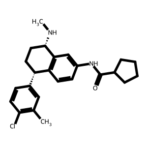 CN[C@H]1CC[C@@H](c2ccc(Cl)c(C)c2)c2ccc(NC(=O)C3CCCC3)cc21